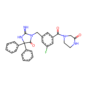 N=C1NC(c2ccccc2)(c2ccccc2)C(=O)N1Cc1cc(F)cc(C(=O)N2CCNC(=O)C2)c1